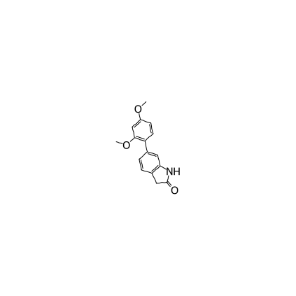 COc1ccc(-c2ccc3c(c2)NC(=O)C3)c(OC)c1